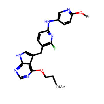 CCOc1ccc(Nc2ccc(Cc3c[nH]c4ncnc(OCCOC)c34)c(F)n2)cn1